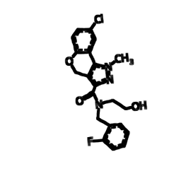 Cn1nc(C(=O)N(CCO)Cc2ccccc2F)c2c1-c1cc(Cl)ccc1OC2